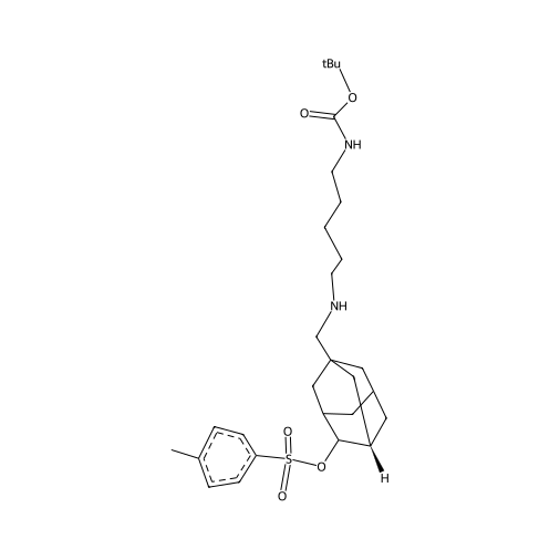 Cc1ccc(S(=O)(=O)OC2C3CC4C[C@H]2CC(CNCCCCCNC(=O)OC(C)(C)C)(C4)C3)cc1